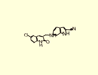 N#Cc1cc2ccc(NCc3cc4cc(Cl)ccc4[nH]c3=O)cc2[nH]1